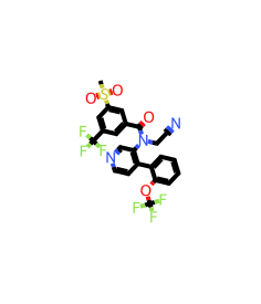 CS(=O)(=O)c1cc(C(=O)N(CC#N)c2cnccc2-c2ccccc2OC(F)(F)F)cc(C(F)(F)F)c1